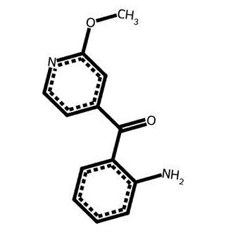 COc1cc(C(=O)c2ccccc2N)ccn1